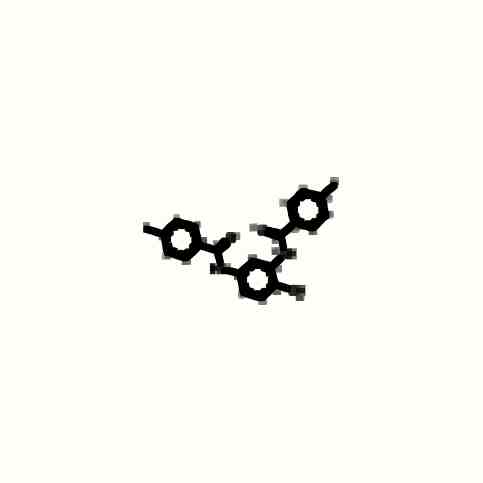 Cc1ccc(C(=O)Nc2ccc(O)c(NC(=O)c3ccc(C)cc3)c2)cc1